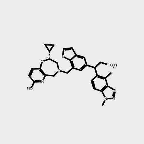 Cc1c(C(CC(=O)O)c2cc(CN3Cc4nc(O)ccc4O[C@H](C4CC4)C3)c3sccc3c2)ccc2c1nnn2C